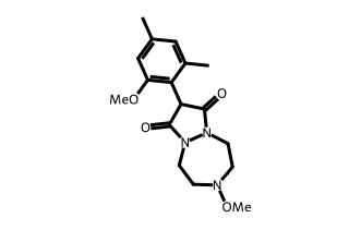 COc1cc(C)cc(C)c1C1C(=O)N2CCN(OC)CCN2C1=O